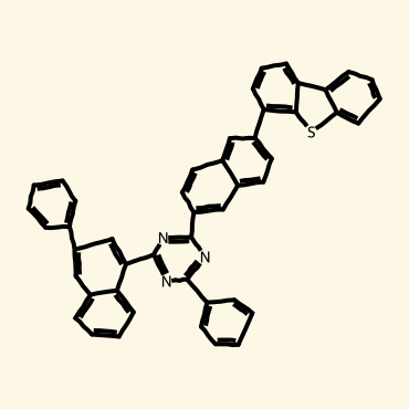 c1ccc(-c2cc(-c3nc(-c4ccccc4)nc(-c4ccc5cc(-c6cccc7c6sc6ccccc67)ccc5c4)n3)c3ccccc3c2)cc1